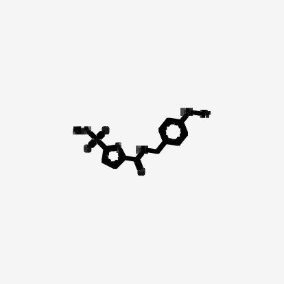 CNS(=O)(=O)c1ccc(C(=O)NCc2ccc(NC(C)C)cc2)s1